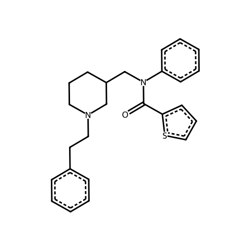 O=C(c1cccs1)N(CC1CCCN(CCc2ccccc2)C1)c1ccccc1